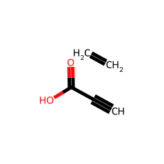 C#CC(=O)O.C=C